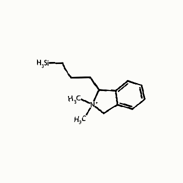 C[N+]1(C)Cc2ccccc2C1CCC[SiH3]